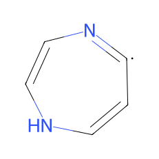 [C]1=NC=CNC=C1